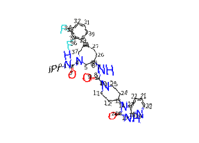 CC(C)NC(=O)N1C[C@H](NC(=O)N2CCC(n3c(=O)[nH]c4ncccc43)CC2)CC[C@@H](c2cccc(F)c2F)C1